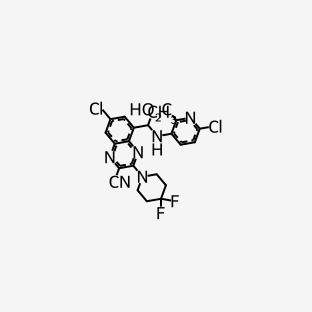 CC(Nc1ccc(Cl)nc1C(=O)O)c1cc(Cl)cc2nc(C#N)c(N3CCC(F)(F)CC3)nc12